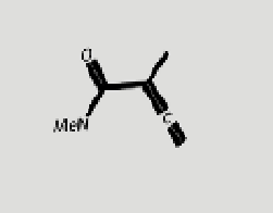 C=C=C(C)C(=O)NC